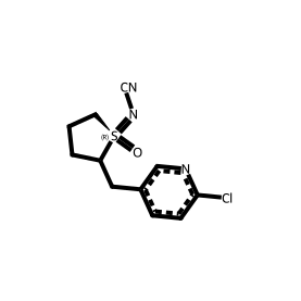 N#CN=[S@@]1(=O)CCCC1Cc1ccc(Cl)nc1